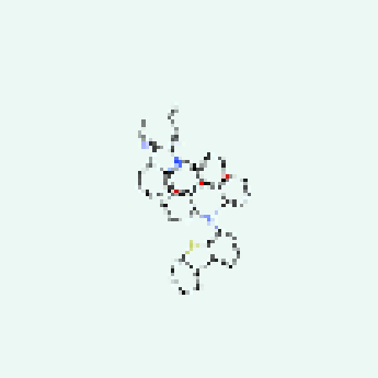 C=C/C=c1\c(=C/C)c2ccccc2n1-c1ccccc1-c1ccccc1N(c1ccccc1-c1ccccc1)c1cccc2c1sc1ccccc12